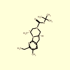 CCc1nc2c(cc1C)C[C@@H]1CN(C(=O)OC(C)(C)C)C[C@@H](C)N21